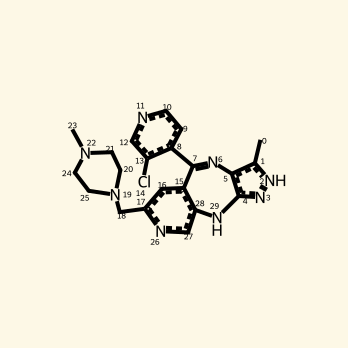 Cc1[nH]nc2c1N=C(c1ccncc1Cl)c1cc(CN3CCN(C)CC3)ncc1N2